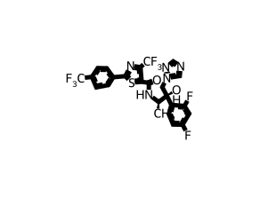 C[C@@H](NC(=O)c1sc(-c2ccc(C(F)(F)F)cc2)nc1C(F)(F)F)[C@](O)(Cn1cncn1)c1ccc(F)cc1F